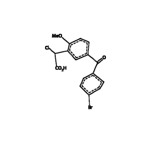 COc1ccc(C(=O)c2ccc(Br)cc2)cc1C(Cl)C(=O)O